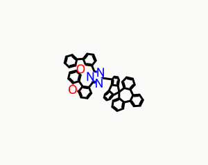 c1ccc2c(c1)-c1ccccc1C1(c3ccccc3-2)c2ccccc2-c2c(-c3nc(-c4cccc5c4oc4ccccc45)nc(-c4cccc5oc6ccccc6c45)n3)cccc21